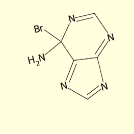 NC1(Br)N=CN=C2N=CN=C21